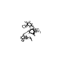 O=c1ccc(Cc2ccc([N+](=O)[O-])c(Sc3cccc(Cl)c3)c2)n[nH]1